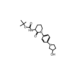 CC(C)(C)OC(=O)NC1CCCN(c2ccc(N3CCC(O)C3)cc2)C1=O